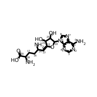 Nc1ncnc2c1ncn2C1O/C(=C/C(N)CCC(N)C(=O)O)C(O)C1O